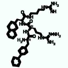 N=C(N)NCCCCNC(=O)[C@H](Cc1ccc2ccccc2c1)NC(=O)[C@H](CCCNC(N)=NN)NC(=O)[C@@H](N)Cc1ccc(-c2ccccc2)cc1